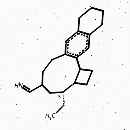 CC[C@@H]1CC(C=N)CCc2cc3c(cc2C2CCC21)CCCC3